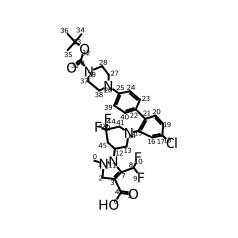 CN1CC(C(=O)O)=C(C(F)F)N1C1CN(c2cc(Cl)ccc2-c2ccc(N3CCN(C(=O)OC(C)(C)C)CC3)cc2)CC(F)(F)C1